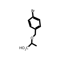 CC(OCc1ccc(Br)cc1)C(=O)O